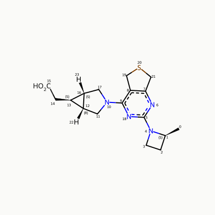 C[C@H]1CCN1c1nc2c(c(N3C[C@@H]4[C@@H](CC(=O)O)[C@@H]4C3)n1)CSC2